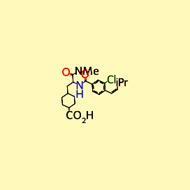 CNC(=O)C(CC1CCC(C(=O)O)CC1)NC(=O)c1ccc(/C=C\C(C)C)c(Cl)c1